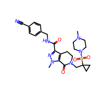 CN1CCN(S(=O)(=O)C2(CN3CCc4c(C(=O)NCc5ccc(C#N)cc5)nn(C)c4C3=O)CC2)CC1